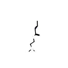 C/C=C/C(=O)NCCN(C)CC